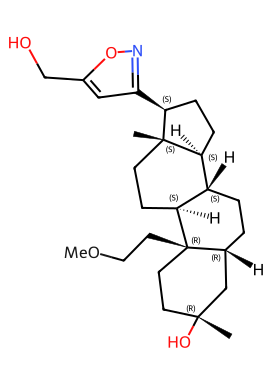 COCC[C@]12CC[C@@](C)(O)C[C@H]1CC[C@H]1[C@@H]3CC[C@H](c4cc(CO)on4)[C@@]3(C)CC[C@@H]12